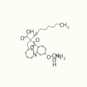 CCCCCCC#CC(Cc1cccnc1)(C(=O)O)S(=O)(=O)c1ccc(OC)cc1.NO